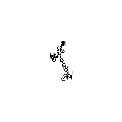 CN(C)C(=O)c1cc2c(-c3ccc(C4CCN(c5ccc(NC6CCC(=O)NC6=O)cc5F)CC4)cc3)cc(C3=CCCN(C(=O)CCn4cccn4)C3)c(F)c2[nH]1